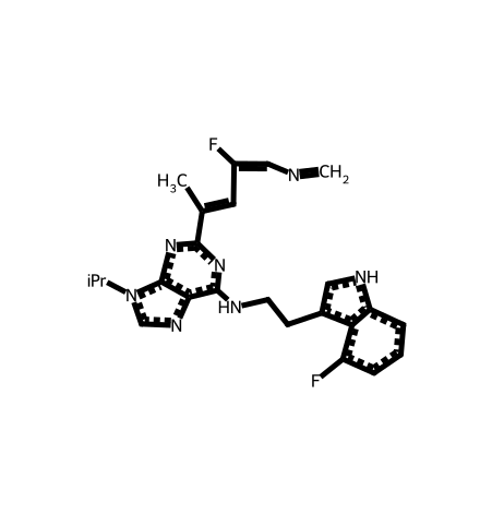 C=N/C=C(F)\C=C(/C)c1nc(NCCc2c[nH]c3cccc(F)c23)c2ncn(C(C)C)c2n1